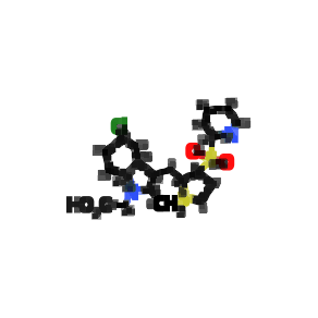 Cc1c(Cc2sccc2S(=O)(=O)c2ccccn2)c2cc(Cl)ccc2n1CC(=O)O